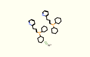 C(=CP(C1CCCCC1)C1CCCCC1)Cc1ccccn1.C(=CP(C1CCCCC1)C1CCCCC1)Cc1ccccn1.[Cl-].[Cl-].[Ni+2]